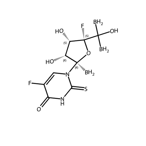 BC(B)(O)[C@@]1(F)O[C@@](B)(n2cc(F)c(=O)[nH]c2=S)[C@H](O)[C@@H]1O